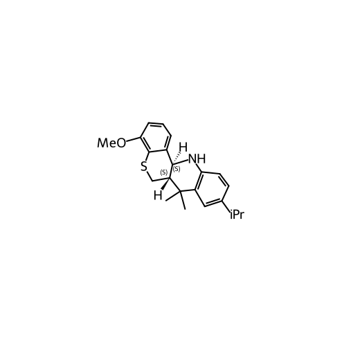 COc1cccc2c1SC[C@@H]1[C@@H]2Nc2ccc(C(C)C)cc2C1(C)C